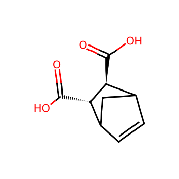 O=C(O)[C@H]1C2C=CC(C2)[C@@H]1C(=O)O